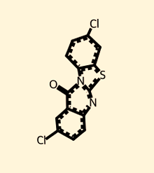 O=c1c2cc(Cl)ccc2nc2sc3cc(Cl)ccc3n12